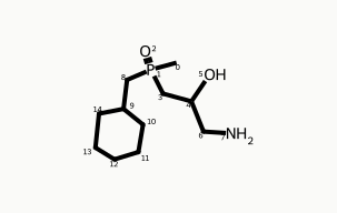 CP(=O)(CC(O)CN)CC1CCCCC1